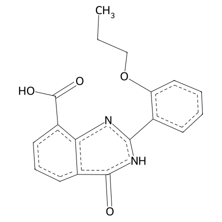 CCCOc1ccccc1-c1nc2c(C(=O)O)cccc2c(=O)[nH]1